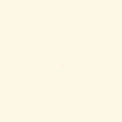 CCCCCC(=O)OCC.O=[SH](=O)O.[Co]